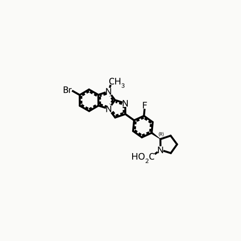 Cn1c2cc(Br)ccc2n2cc(-c3ccc([C@H]4CCCN4C(=O)O)cc3F)nc12